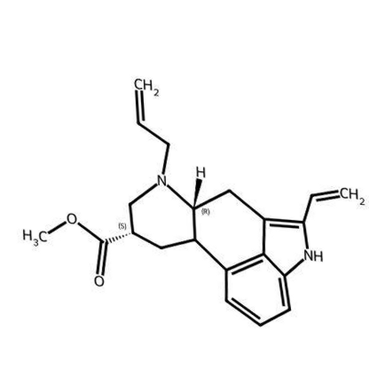 C=CCN1C[C@@H](C(=O)OC)CC2c3cccc4[nH]c(C=C)c(c34)C[C@H]21